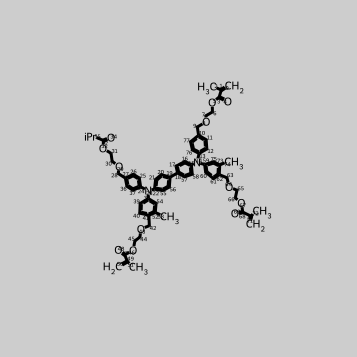 C=C(C)C(=O)OCCOCc1ccc(N(c2ccc(-c3ccc(N(c4ccc(COCCOC(=O)C(C)C)cc4)c4ccc(COCCOC(=O)C(=C)C)c(C)c4)cc3)cc2)c2ccc(COCCOC(=O)C(=C)C)c(C)c2)cc1